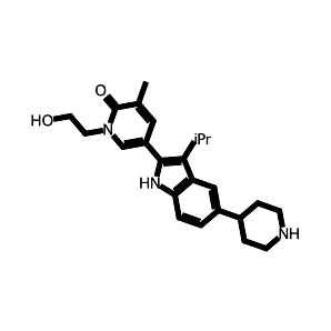 Cc1cc(-c2[nH]c3ccc(C4CCNCC4)cc3c2C(C)C)cn(CCO)c1=O